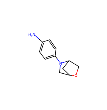 Nc1ccc(N2CC3CC2CO3)cc1